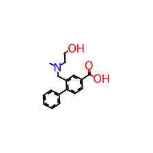 CN(CCO)Cc1cc(C(=O)O)ccc1-c1ccccc1